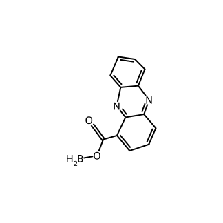 BOC(=O)c1cccc2nc3ccccc3nc12